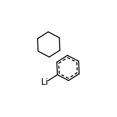 C1CCCCC1.[Li][c]1ccccc1